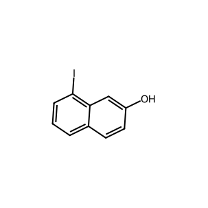 Oc1ccc2cccc(I)c2c1